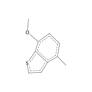 COc1ccc(C)c2ccsc12